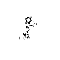 CS(=O)(=O)OCCNC1CCCc2ccccc21